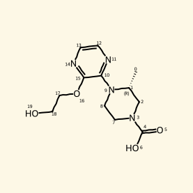 C[C@@H]1CN(C(=O)O)CCN1c1nccnc1OCCO